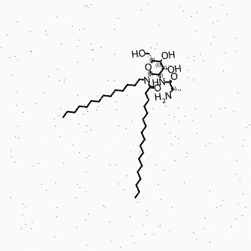 CCCCCCCCCCCCCCCCCC(=O)N(CCCCCCCCCCCCCC)[C@@H]1O[C@H](CO)[C@@H](O)[C@H](O)[C@H]1NC(=O)[C@H](C)N